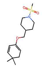 CC1(C)C=CC(OCC2CCN(S(C)(=O)=O)CC2)=CC1